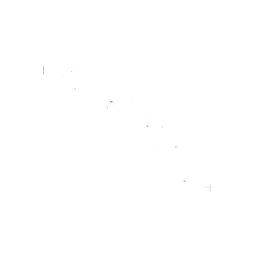 CCCCCCCC1CCC(OCC2CCC(C)CC2)CC1